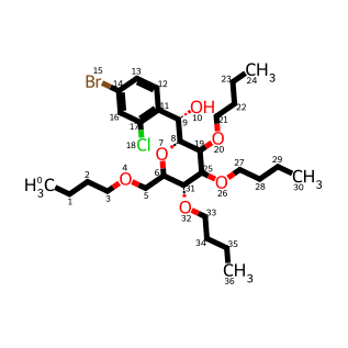 CCCCOCC1O[C@H]([C@@H](O)c2ccc(Br)cc2Cl)C(OCCCC)C(OCCCC)[C@@H]1OCCCC